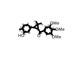 COc1cc(C(=O)C2C(c3ccc(C)c(O)c3)C2(C)C)cc(OC)c1OC